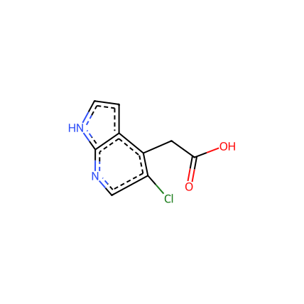 O=C(O)Cc1c(Cl)cnc2[nH]ccc12